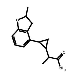 CC1Cc2c(cccc2C2CC2C(C)C(N)=O)O1